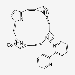 C1=Cc2cc3ccc(cc4nc(cc5ccc(cc1n2)[nH]5)C=C4)[nH]3.[Co].c1ccc(-c2ccccn2)nc1